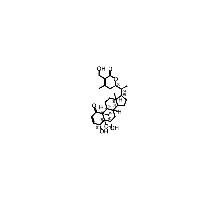 CC1=C(CO)C(=O)O[C@@H]([C@@H](C)[C@H]2CC[C@H]3[C@@H]4C[C@H](O)[C@]5(O)[C@@H](O)C=CC(=O)[C@]5(C)[C@H]4CC[C@]23C)C1